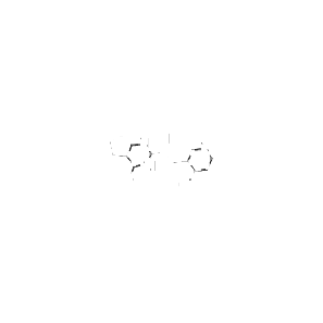 Cc1nccc(Cl)c1CSc1nc2c(c(=O)[nH]1)CCC2